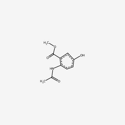 COC(=O)c1cc(O)ccc1NC(C)=O